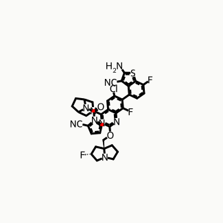 N#Cc1c(N)sc2c(F)ccc(-c3c(Cl)cc4c(N5CC6CCC(C5)N6C(=O)n5cccc5C#N)nc(OC[C@@]56CCCN5C[C@H](F)C6)nc4c3F)c12